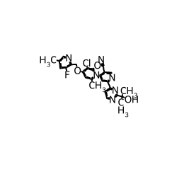 Cc1cnc(COc2cc(C)n(-c3cc(-c4ccnc(C(C)(C)O)n4)ncc3C#N)c(=O)c2Cl)c(F)c1